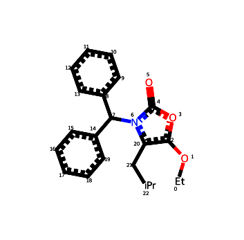 CCOc1oc(=O)n(C(c2ccccc2)c2ccccc2)c1CC(C)C